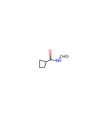 O=[C]NC(=O)C1CCC1